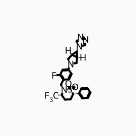 O=S1(=O)[C@H](c2ccccc2)CC[C@H](C(F)(F)F)N1Cc1ccc(N2C[C@@H]3[C@H](C2)[C@@H]3n2cnnc2)cc1F